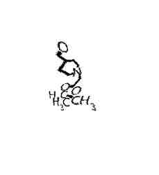 CC(C)(C)OC(=O)CN1CCC(C=O)CC1